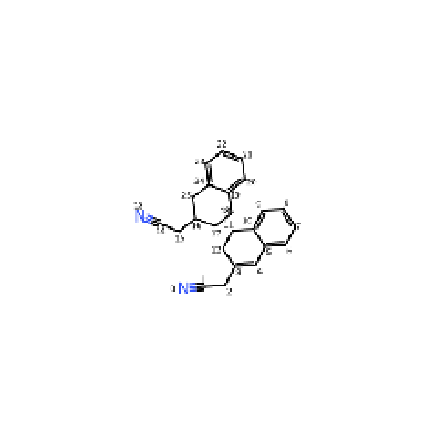 N#CCC1=Cc2ccccc2CC1.N#CCC1CCc2ccccc2C1